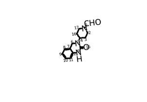 O=[C]N1CCC(N2Cc3ccccc3NC2=O)CC1